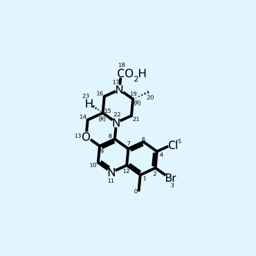 Cc1c(Br)c(Cl)cc2c3c(cnc12)OC[C@H]1CN(C(=O)O)[C@H](C)CN31